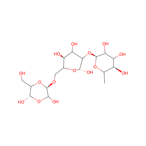 CC1O[C@@H](OC2C(O)[C@H](O)C(CO[C@@H]3OC(CO)[C@@H](O)OC3O)O[C@H]2O)C(O)C(O)[C@H]1O